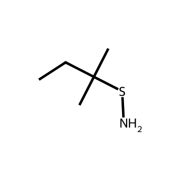 CCC(C)(C)SN